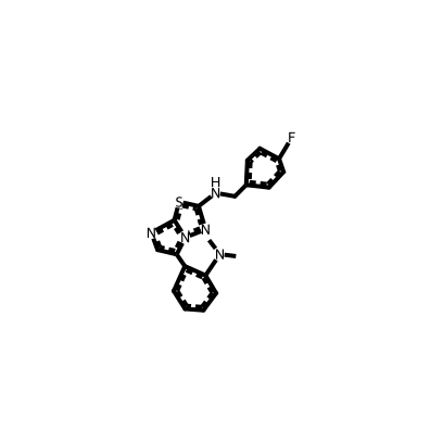 CN(C)c1ccccc1-c1cnc2sc(NCc3ccc(F)cc3)nn12